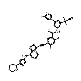 Cc1cn(-c2cc(NC(=O)c3cc(C#Cc4cnc5c(Nc6cnn(C7CCCCO7)c6)cccn45)c(C)cc3F)cc(C(C)(C)C#N)c2)cn1